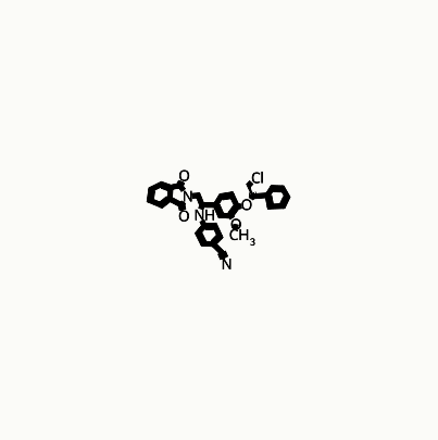 COc1cc(C(CN2C(=O)c3ccccc3C2=O)Nc2ccc(C#N)cc2)ccc1O[C@@H](CCl)c1ccccc1